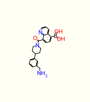 NCc1cccc(C2CCN(C(=O)c3ccc(B(O)O)c4cccnc34)CC2)c1